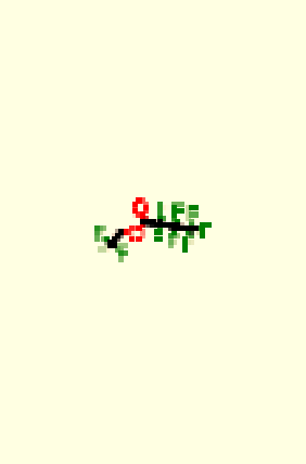 O=C(OCC(F)(F)F)C(F)(F)C(F)(F)C(F)(F)F